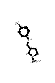 CCCCCN1CCC(COc2ccc(C(C)C)cc2)C1